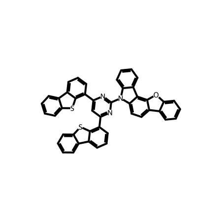 c1ccc2c(c1)oc1c2ccc2c1c1ccccc1n2-c1nc(-c2cccc3c2sc2ccccc23)cc(-c2cccc3c2sc2ccccc23)n1